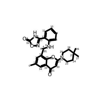 Cc1cc([C@@H](C)Nc2ccccc2-c2noc(=O)[nH]2)c2oc(N3CCC(C)(C)CC3)cc(=O)c2c1